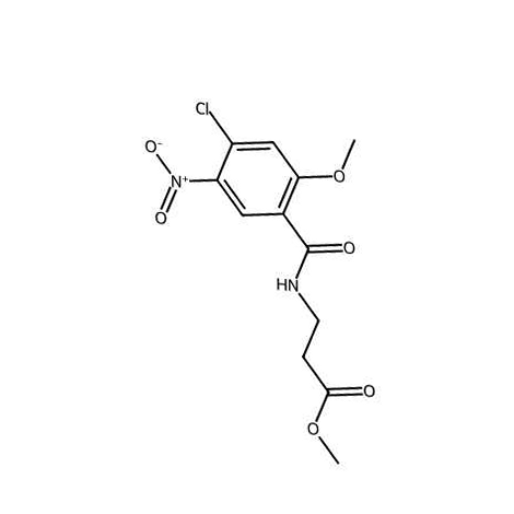 COC(=O)CCNC(=O)c1cc([N+](=O)[O-])c(Cl)cc1OC